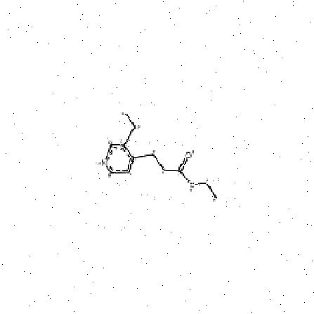 CCOC(=O)CCc1ccncc1CC